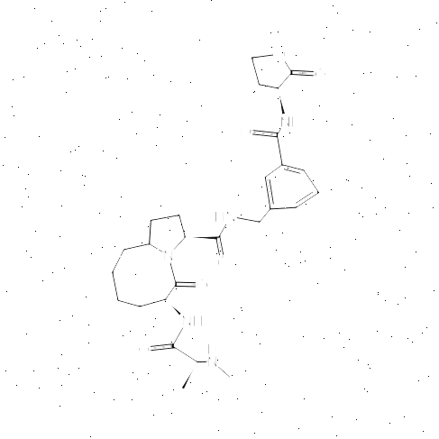 CN[C@@H](C)C(=O)N[C@H]1CCCCC2CC[C@@H](C(=O)NCc3cccc(C(=O)N[C@H]4CCOC4=O)c3)N2C1=O